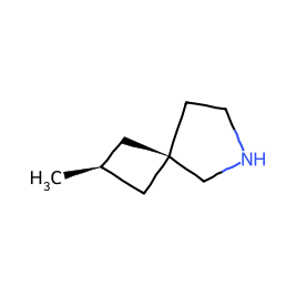 C[C@H]1C[C@]2(CCNC2)C1